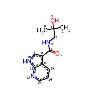 CC(C)(O)CNC(=O)c1c[nH]c2ncccc12